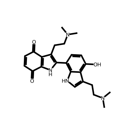 CN(C)CCc1c(-c2ccc(O)c3c(CCN(C)C)c[nH]c23)[nH]c2c1C(=O)C=CC2=O